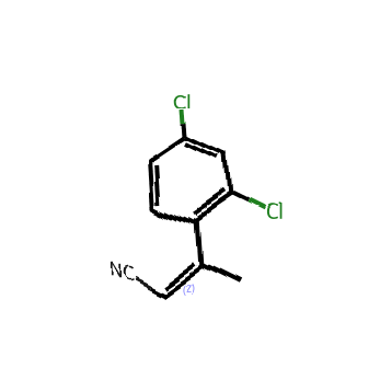 C/C(=C/C#N)c1ccc(Cl)cc1Cl